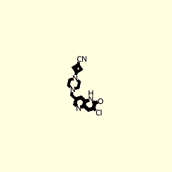 N#CC12CC(N3CCN(Cc4cnc5cc(Cl)c(=O)[nH]c5c4)CC3)(C1)C2